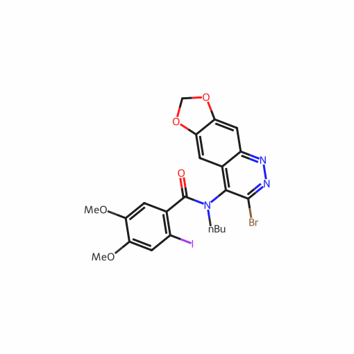 CCCCN(C(=O)c1cc(OC)c(OC)cc1I)c1c(Br)nnc2cc3c(cc12)OCO3